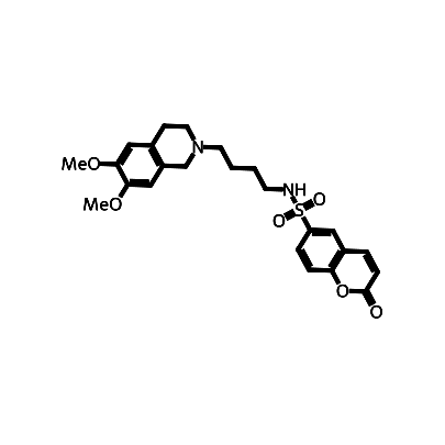 COc1cc2c(cc1OC)CN(CCCCNS(=O)(=O)c1ccc3oc(=O)ccc3c1)CC2